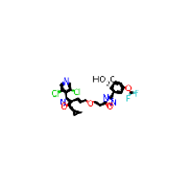 O=C(O)c1cc(OC(F)F)cc(-c2noc(CCOC/C=C/c3c(-c4c(Cl)cncc4Cl)noc3C3CC3)n2)c1